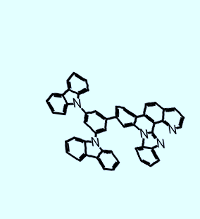 c1cnc2c(c1)ccc1c3ccc(-c4cc(-n5c6ccccc6c6ccccc65)cc(-n5c6ccccc6c6ccccc65)c4)cc3n3c4ccccc4nc3c12